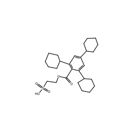 O=C(OCCS(=O)(=O)O)c1c(C2CCCCC2)cc(C2CCCCC2)cc1C1CCCCC1